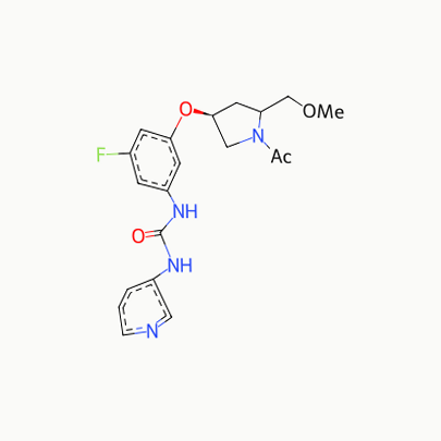 COCC1C[C@H](Oc2cc(F)cc(NC(=O)Nc3cccnc3)c2)CN1C(C)=O